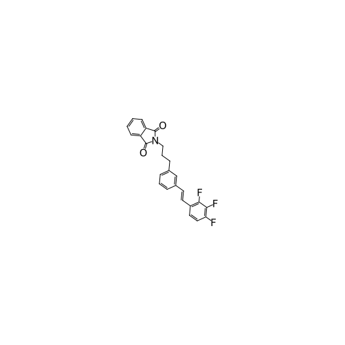 O=C1c2ccccc2C(=O)N1CCCc1cccc(C=Cc2ccc(F)c(F)c2F)c1